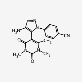 Cc1c(-c2c(N)cnn2-c2ccc(C#N)cc2)c(=O)n(C)c(=O)n1C(F)(F)F